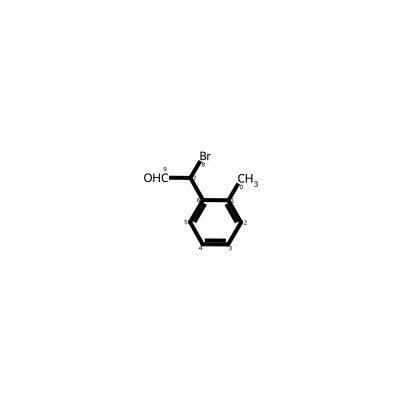 Cc1ccccc1C(Br)C=O